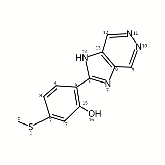 CSc1ccc(-c2nc3cnncc3[nH]2)c(O)c1